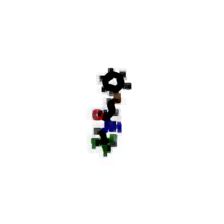 O=C(C=CSc1ccccc1)NCC(F)(F)F